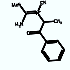 CSC(N)=[N+](C#N)C(C)C(=O)c1ccccc1